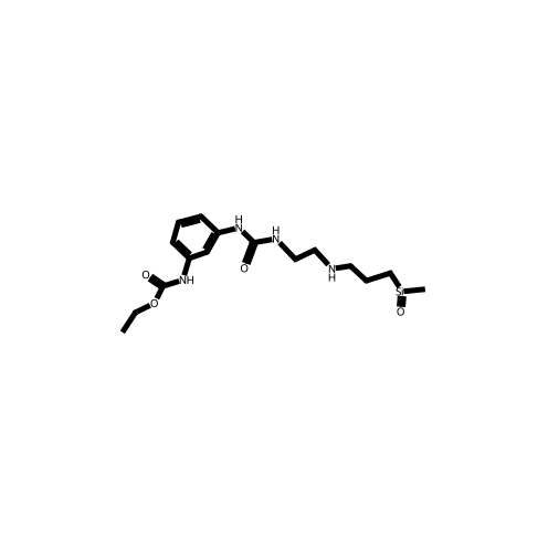 CCOC(=O)Nc1cccc(NC(=O)NCCNCCC[Si](C)=O)c1